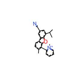 Cc1ccc2c(oc3c(C(C)C)cc(C#N)cc32)c1-c1cccc[n+]1C